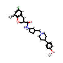 COc1ccc(C2CCN(CC3CCC(NC(=O)C4=Cc5cc(Cl)cc(C)c5OC4)C3)CC2)cc1